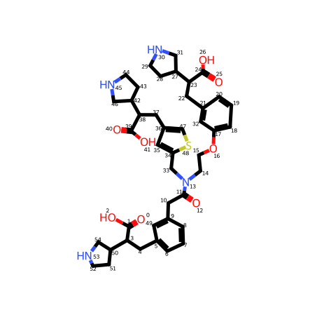 O=C(O)C(Cc1cccc(CC(=O)N(CCOc2cccc(CC(C(=O)O)C3CCNC3)c2)Cc2cc(CC(C(=O)O)C3CCNC3)cs2)c1)C1CCNC1